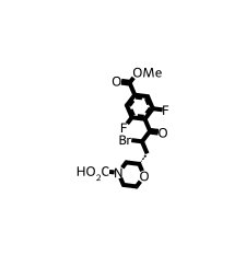 COC(=O)c1cc(F)c(C(=O)C(Br)C[C@H]2CN(C(=O)O)CCO2)c(F)c1